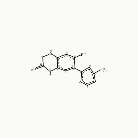 Cc1cccc(-c2cc3c(cc2F)OCC(=O)N3)c1